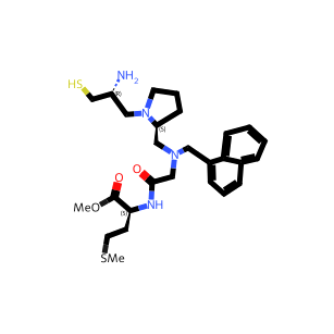 COC(=O)[C@H](CCSC)NC(=O)CN(Cc1cccc2ccccc12)C[C@@H]1CCCN1C[C@@H](N)CS